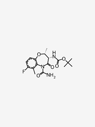 Cc1c(F)ccc2c1N(C(N)=O)C(=O)[C@@H](NC(=O)OC(C)(C)C)[C@@H](C)O2